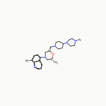 CC(=O)N1CCN(C2CCN(C[C@@H]3CN(c4ccc(C#N)c5ncccc45)C[C@@H](C)O3)CC2)CC1